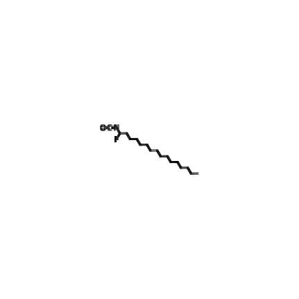 CCCCCCCCCCCCCCCC(F)N=C=O